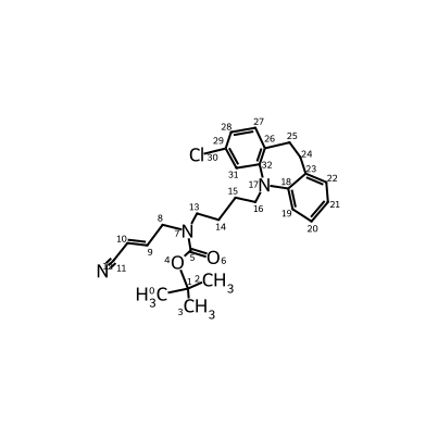 CC(C)(C)OC(=O)N(C/C=C/C#N)CCCCN1c2ccccc2CCc2ccc(Cl)cc21